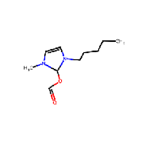 CCCCCN1C=CN(C)C1OC=O